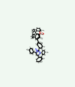 c1ccc(-c2cc(-c3ccccc3-c3ccccc3)nc(-c3cccc(-c4ccc5c(c4)Oc4ccccc4C54c5ccccc5-c5ccccc54)c3)n2)cc1